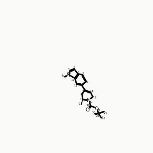 C[C@H]1CC(c2ccc3ccn(C)c3c2)=CCN1C(=O)OC(C)(C)C